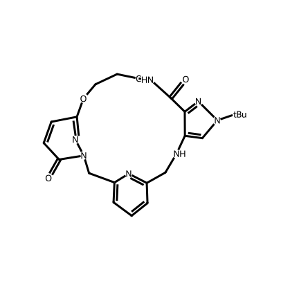 CC(C)(C)n1cc2c(n1)C(=O)NCCCOc1ccc(=O)n(n1)Cc1cccc(n1)CN2